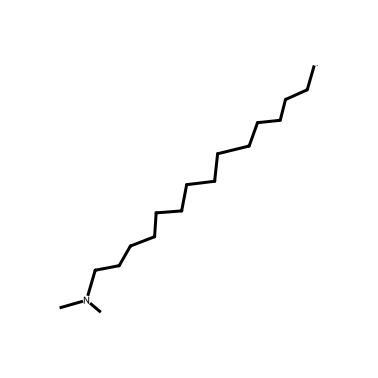 [CH2]CCCCCCCCCCCCCCN(C)C